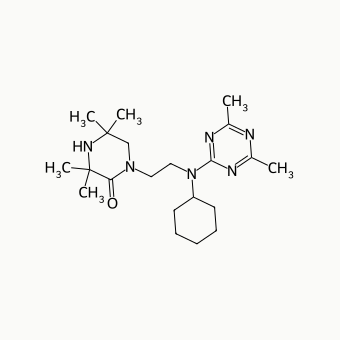 Cc1nc(C)nc(N(CCN2CC(C)(C)NC(C)(C)C2=O)C2CCCCC2)n1